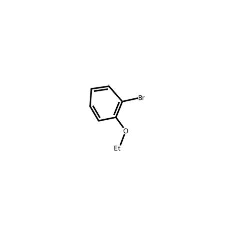 CCOc1ccc[c]c1Br